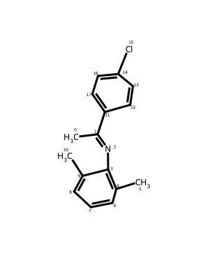 CC(=Nc1c(C)cccc1C)c1ccc(Cl)cc1